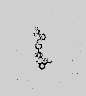 CCc1nn(-c2noc(C3CCN(C[C@H]4CCCN4C(C=O)OC)CC3)n2)c2c(F)cccc12